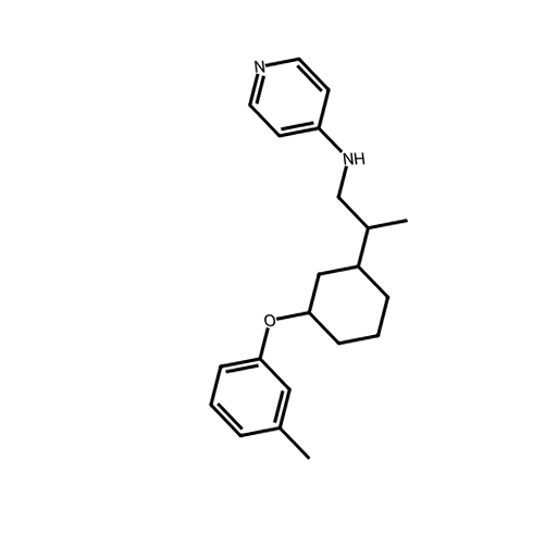 Cc1cccc(OC2CCCC(C(C)CNc3ccncc3)C2)c1